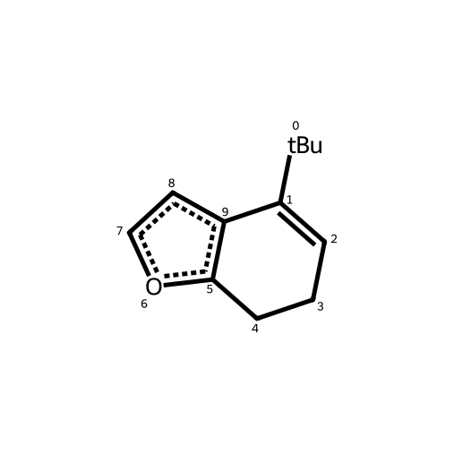 CC(C)(C)C1=CCCc2occc21